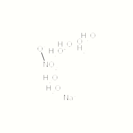 O.O.O.O.O.O.O=[N+]([O-])[O-].[Na+]